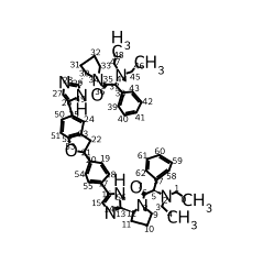 CCN(CC)[C@@H](C(=O)N1CCC[C@H]1c1ncc(-c2ccc(C3Cc4cc(-c5cnc([C@@H]6CCCN6C(=O)[C@@H](c6ccccc6)N(CC)CC)[nH]5)ccc4O3)cc2)[nH]1)c1ccccc1